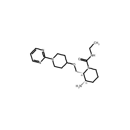 CCNC(=O)N1CCC[C@H](N)[C@@H]1COC1CCN(c2ncccn2)CC1